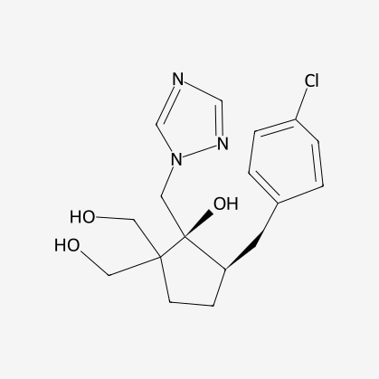 OCC1(CO)CC[C@H](Cc2ccc(Cl)cc2)[C@@]1(O)Cn1cncn1